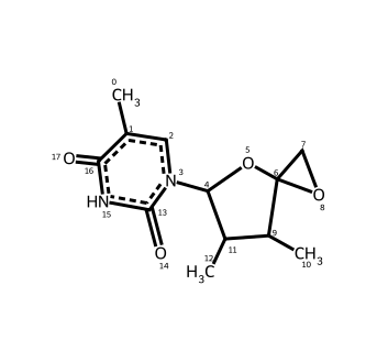 Cc1cn(C2OC3(CO3)C(C)C2C)c(=O)[nH]c1=O